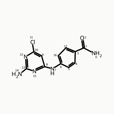 NC(=O)c1ccc(Nc2cc(Cl)nc(N)n2)cc1